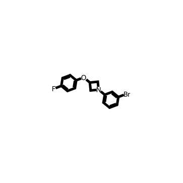 Fc1ccc(OC2CN(c3cccc(Br)c3)C2)cc1